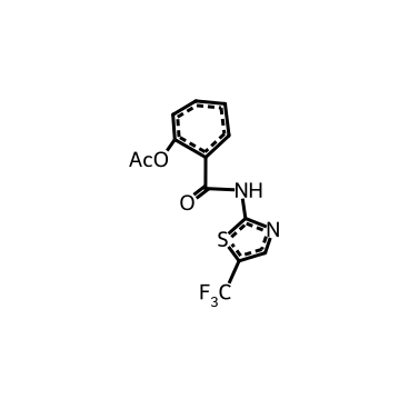 CC(=O)Oc1ccccc1C(=O)Nc1ncc(C(F)(F)F)s1